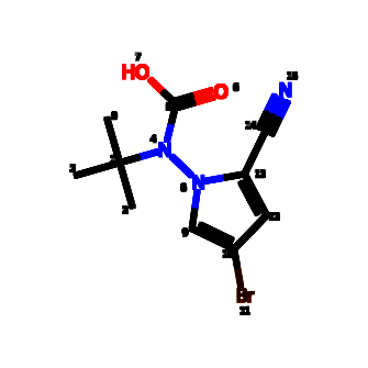 CC(C)(C)N(C(=O)O)n1cc(Br)cc1C#N